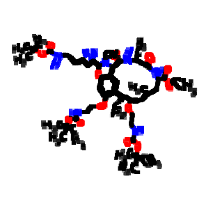 C=C1/C(OCCNC(=O)OC(C)(C)C)=C\C=C(/C)C[C@@H](C(=O)OC)NC(=O)[C@H](C)NC(=O)[C@@H](N(C)C(=O)[C@@H](N)CCCCNC(=O)OC(C)(C)C)c2ccc(OCCNC(=O)OC(C)(C)C)c1c2